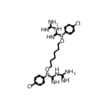 N=C(N)NC(=N)N(OCCCCCCON(C(=N)NC(=N)N)c1ccc(Cl)cc1)c1ccc(Cl)cc1